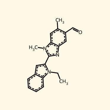 CCn1c(-c2nc3cc(C=O)c(C)cc3n2C)cc2ccccc21